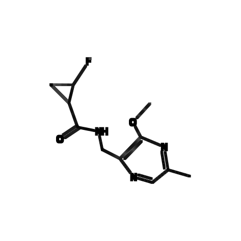 COc1nc(C)cnc1CNC(=O)C1CC1F